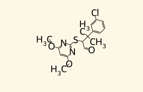 COc1cc(OC)nc(SC(C=O)C(C)(C)c2cccc(Cl)c2)n1